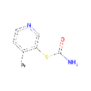 CC(C)c1ccncc1SC(N)=O